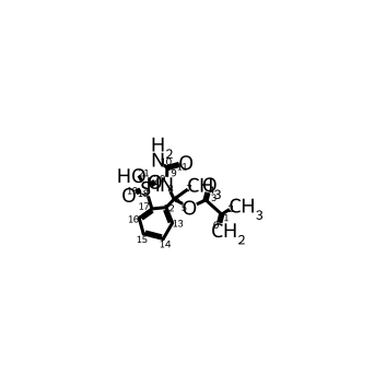 C=C(C)C(=O)OC(C)(NC(N)=O)c1ccccc1S(=O)(=O)O